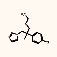 CCSCC(F)(Cn1ccnn1)c1ccc(Cl)cc1